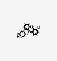 Clc1cccc(Oc2ncccc2N2CCNCC2)c1Cl